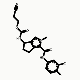 Cn1cc2c(c1C(=O)Nc1ccc(F)c(Cl)c1)CCC2NC(=O)OCCC#N